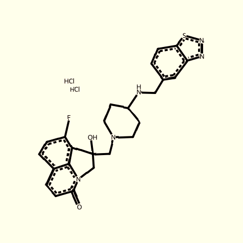 Cl.Cl.O=c1ccc2ccc(F)c3c2n1CC3(O)CN1CCC(NCc2ccc3snnc3c2)CC1